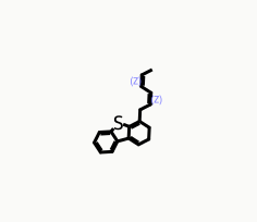 C/C=C\C=C/CC1=c2sc3ccccc3c2=CCC1